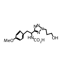 COc1ccc(CC(NC(=O)O)c2nnn(CCCO)n2)cc1